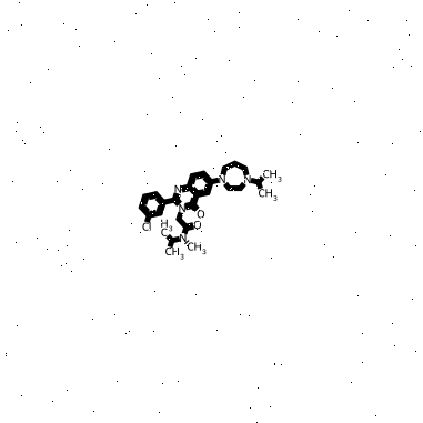 CC(C)N1CCCN(c2ccc3nc(-c4cccc(Cl)c4)n(CC(=O)N(C)C(C)C)c(=O)c3c2)CC1